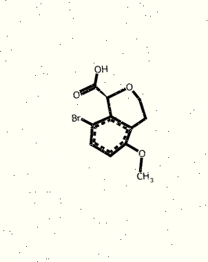 COc1ccc(Br)c2c1CCO[C@@H]2C(=O)O